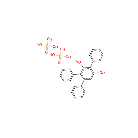 O=P(O)(O)O.O=P(O)(O)O.Oc1cc(-c2ccccc2)c(-c2ccccc2)c(O)c1-c1ccccc1